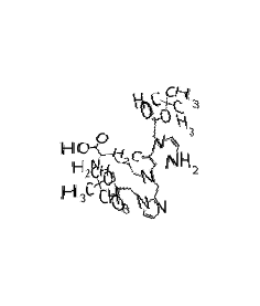 C=C(CN(CCCC[C@H](N)C(=O)O)Cc1nccn1CC(=O)OC(C)(C)C)N(/C=C\N)CC(=O)OC(C)(C)C